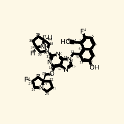 C#Cc1c(F)ccc2cc(O)cc(Cn3cnc4c(OC[C@@]56CCCN5C[C@H](F)C6)nc(N5C[C@H]6CC[C@@H](C5)N6)nc43)c12